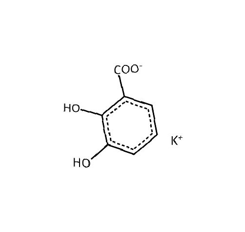 O=C([O-])c1cccc(O)c1O.[K+]